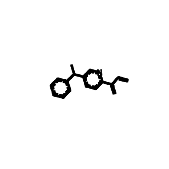 C=CC(=C)c1ccc(C(C)c2ccccc2)cn1